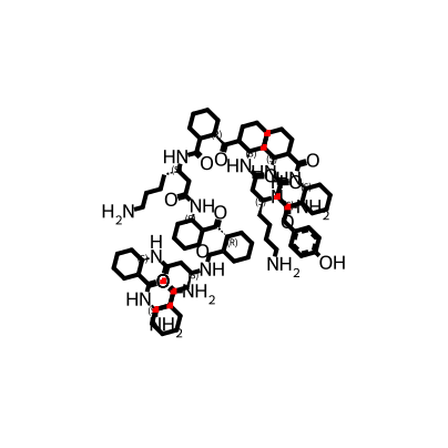 NCCCC[C@@H](CC(=O)N[C@H]1CCCCC1C(=O)[C@@H]1CCCCC1C(=O)N[C@@H](CCCCN)CC(=O)N[C@H]1CCCCC1C(=O)[C@@H]1CCCCC1C(=O)N[C@@H](CCCCN)CC(=O)N[C@H]1CCCCC1C(=O)N[C@H]1CCCCC1C(N)=O)NC(=O)C1CCCC[C@@H]1NC(=O)C1CCCC[C@@H]1NC(=O)C[C@@H](N)Cc1ccc(O)cc1